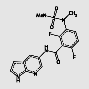 CNS(=O)(=O)N(C)c1ccc(F)c(C(=O)Nc2cnc3[nH]ccc3c2)c1F